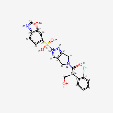 O=C([C@H](CO)c1ccccc1F)N1Cc2cn(S(=O)(=O)c3ccc4ncoc4c3)nc2C1